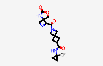 O=C1NC2(CNC2C(=O)N2CC3(CC(C(=O)NC4(C(F)(F)F)CC4)C3)C2)CO1